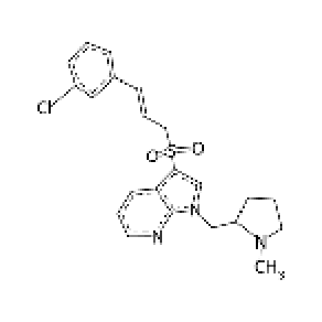 CN1CCCC1Cn1cc(S(=O)(=O)CC=Cc2cccc(Cl)c2)c2cccnc21